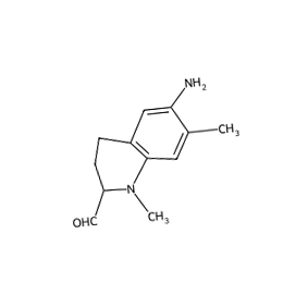 Cc1cc2c(cc1N)CCC(C=O)N2C